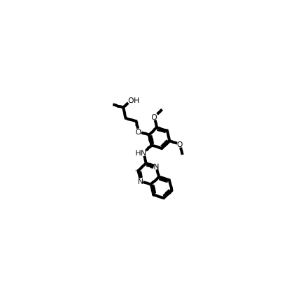 COc1cc(Nc2[c]nc3ccccc3n2)c(OCCC(C)O)c(OC)c1